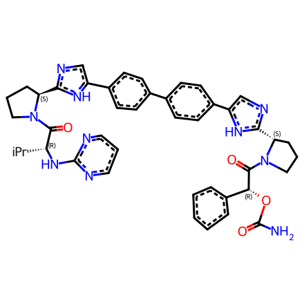 CC(C)[C@@H](Nc1ncccn1)C(=O)N1CCC[C@H]1c1ncc(-c2ccc(-c3ccc(-c4cnc([C@@H]5CCCN5C(=O)[C@H](OC(N)=O)c5ccccc5)[nH]4)cc3)cc2)[nH]1